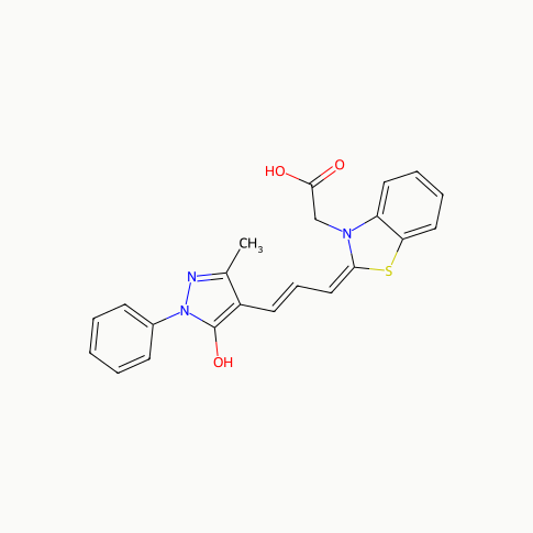 Cc1nn(-c2ccccc2)c(O)c1C=CC=C1Sc2ccccc2N1CC(=O)O